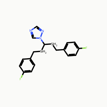 Fc1ccc(C[SiH2]C([SiH2]Cc2ccc(F)cc2)n2cncn2)cc1